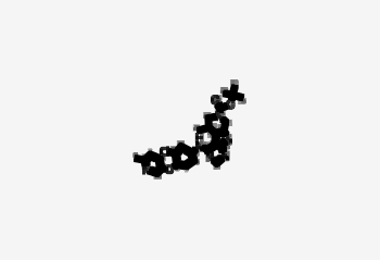 Cc1ccc(Oc2ccc(Nc3ncnc4sc5c(c34)C(C)CN(C(=O)OC(C)(C)C)C5)cc2Cl)cn1